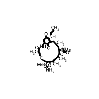 C=CCNC1=C2CC(C)CC(OC)C(OC(N)=O)C(C)C=C(C)C(OC(N)=O)C(OC)CCC=C(C)C(=O)NC(=CC1=O)C2=O